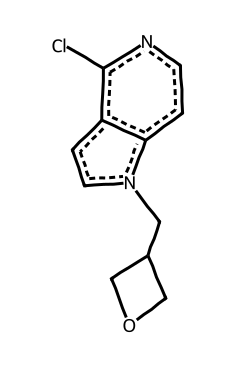 Clc1nccc2c1ccn2CC1COC1